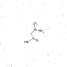 CN(N)CC([NH])=O